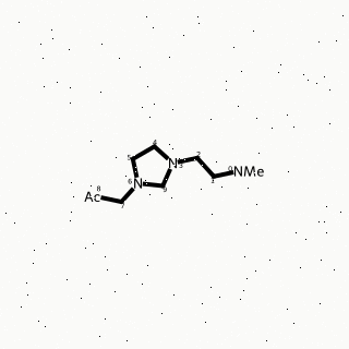 CNCCN1CCN(CC(C)=O)C1